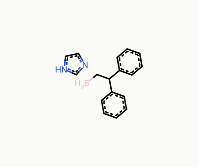 BCC(c1ccccc1)c1ccccc1.c1c[nH]cn1